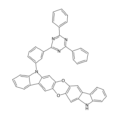 c1ccc(-c2nc(-c3ccccc3)nc(-c3cccc(-n4c5ccccc5c5cc6c(cc54)Oc4cc5c(cc4O6)[nH]c4ccccc45)c3)n2)cc1